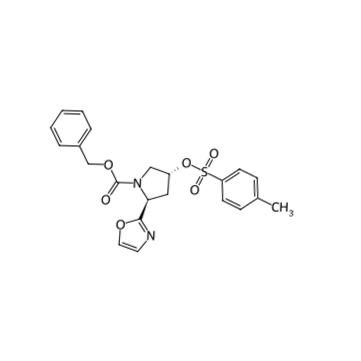 Cc1ccc(S(=O)(=O)O[C@@H]2C[C@@H](c3ncco3)N(C(=O)OCc3ccccc3)C2)cc1